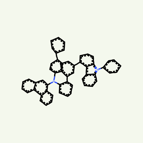 c1ccc(-c2ccc(N(c3ccccc3-c3cccc(-c4cccc5c4c4ccccc4n5-c4ccccc4)c3)c3cc4ccccc4c4ccccc34)cc2)cc1